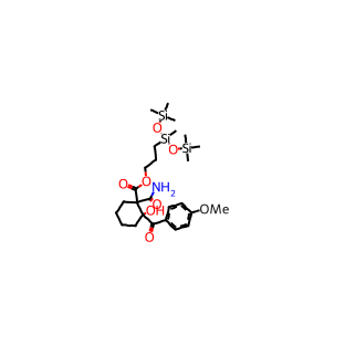 COc1ccc(C(=O)C2(O)CCCCC2(C(N)=O)C(=O)OCCC[Si](C)(O[Si](C)(C)C)O[Si](C)(C)C)cc1